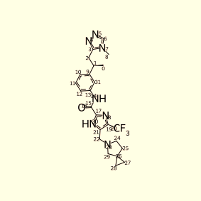 C[C@H](Cc1nncn1C)c1cccc(NC(=O)c2nc(C(F)(F)F)c(CN3CCC4(CC4)C3)[nH]2)c1